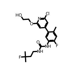 Cc1cc(F)c(NC(=O)NCCC(C)(C)F)cc1-c1cc(Cl)nc(OCCO)c1